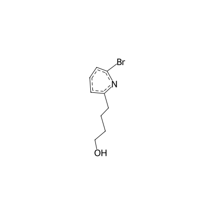 OCCCCc1cccc(Br)n1